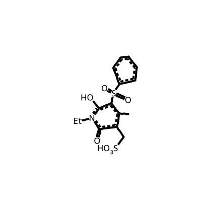 CCn1c(O)c(S(=O)(=O)c2ccccc2)c(C)c(CS(=O)(=O)O)c1=O